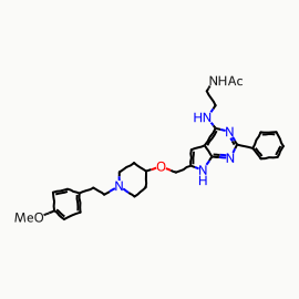 COc1ccc(CCN2CCC(OCc3cc4c(NCCNC(C)=O)nc(-c5ccccc5)nc4[nH]3)CC2)cc1